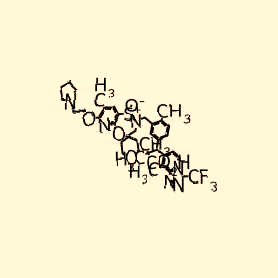 Cc1ccc(C(c2ccn3c(C(F)(F)F)nnc3c2C)C(C)(C)C(=O)O)cc1CN1CC2(CCOCC2)Oc2nc(OCCN3CCCC3)c(C)cc2[S+]1[O-]